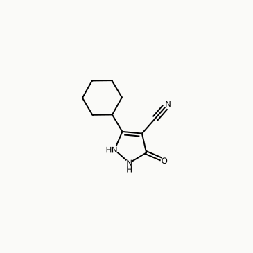 N#Cc1c(C2CCCCC2)[nH][nH]c1=O